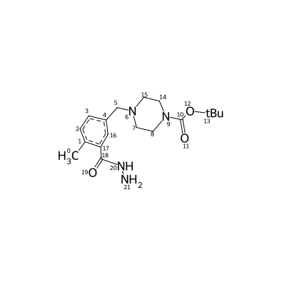 Cc1ccc(CN2CCN(C(=O)OC(C)(C)C)CC2)cc1C(=O)NN